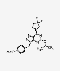 COc1ccc(Cn2nnc3c(N4CCC(F)(F)C4)nc(OC(C)C(F)(F)F)nc32)cc1